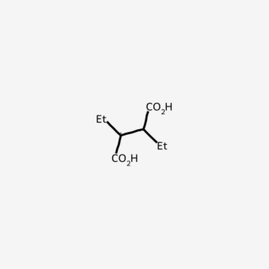 CC[C](C(=O)O)C(CC)C(=O)O